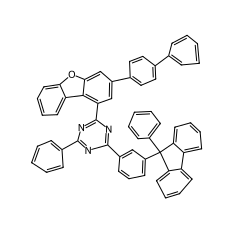 c1ccc(-c2ccc(-c3cc(-c4nc(-c5ccccc5)nc(-c5cccc(C6(c7ccccc7)c7ccccc7-c7ccccc76)c5)n4)c4c(c3)oc3ccccc34)cc2)cc1